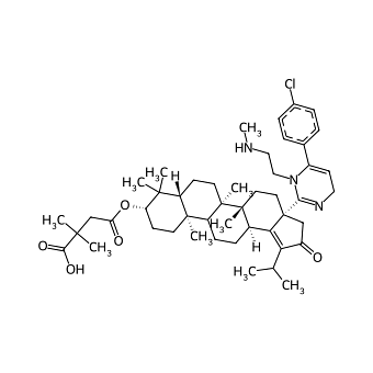 CNCCN1C(c2ccc(Cl)cc2)=CCN=C1[C@@]12CC[C@]3(C)[C@H](CCC4[C@@]5(C)CC[C@H](OC(=O)CC(C)(C)C(=O)O)C(C)(C)[C@@H]5CC[C@]43C)C1=C(C(C)C)C(=O)C2